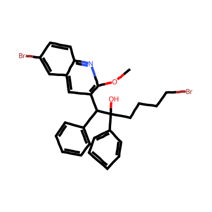 COc1nc2ccc(Br)cc2cc1C(c1ccccc1)C(O)(CCCCBr)c1ccccc1